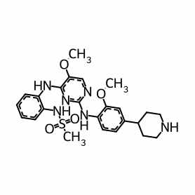 COc1cc(C2CCNCC2)ccc1Nc1ncc(OC)c(Nc2ccccc2NS(C)(=O)=O)n1